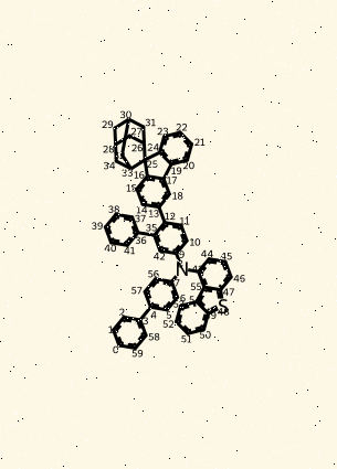 c1ccc(-c2ccc(N(c3ccc(-c4ccc5c(c4)-c4ccccc4C54C5CC6CC(C5)CC4C6)c(-c4ccccc4)c3)c3cccc4sc5ccccc5c34)cc2)cc1